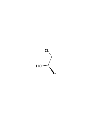 [CH2][C@@H](O)CCl